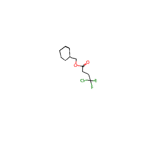 O=C(CCC(F)(F)Cl)OCC1CCCCC1